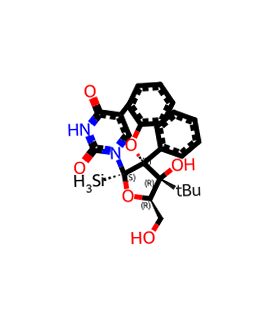 Cc1cn([C@]2([SiH3])O[C@H](CO)[C@](O)(C(C)(C)C)[C@]2(Oc2ccccc2)c2ccccc2)c(=O)[nH]c1=O